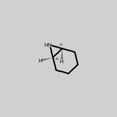 C1CC[C@H]2N[C@H]2C1